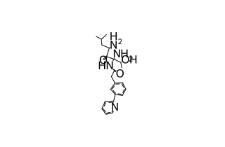 CC(C)C[C@H](N)C(=O)C(N)(NC(=O)Cc1cccc(-c2ccccn2)c1)C(C)O